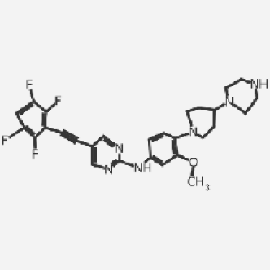 COc1cc(Nc2ncc(C#Cc3c(F)c(F)cc(F)c3F)cn2)ccc1N1CCC(N2CCNCC2)CC1